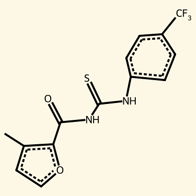 Cc1ccoc1C(=O)NC(=S)Nc1ccc(C(F)(F)F)cc1